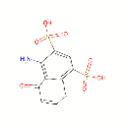 Nc1c(S(=O)(=O)O)cc(S(=O)(=O)O)c2c1C(=O)C=CC2